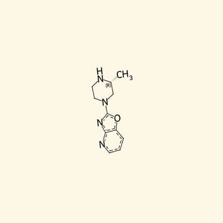 C[C@@H]1CN(c2nc3ncccc3o2)CCN1